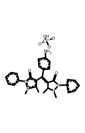 Cc1c(C(=C2C(=O)N(c3ccccc3)N(C)C2C)c2ccc(N)cc2)c(=O)n(-c2ccccc2)n1C.[O-][Cl+3]([O-])([O-])O